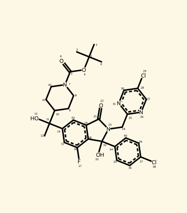 CC(C)(C)OC(=O)N1CCC(C(C)(O)c2cc(F)c3c(c2)C(=O)N(Cc2ncc(Cl)cn2)C3(O)c2ccc(Cl)cc2)CC1